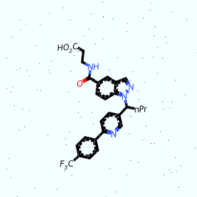 CCCC(c1ccc(-c2ccc(C(F)(F)F)cc2)nc1)n1ncc2cc(C(=O)NCCC(=O)O)ccc21